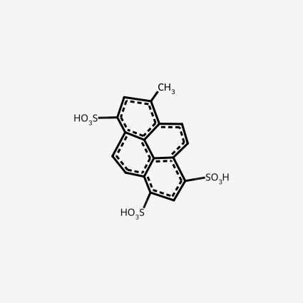 Cc1cc(S(=O)(=O)O)c2ccc3c(S(=O)(=O)O)cc(S(=O)(=O)O)c4ccc1c2c43